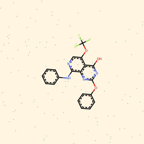 Oc1nc(Oc2ccccc2)nc2c(Nc3ccccc3)ncc(OC(F)(F)F)c12